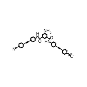 [C-]#[N+]c1ccc(C#Cc2ccc(NC(=O)c3cc(N)cc(C(=O)Nc4ccc(C#Cc5ccc(C#N)cc5)cc4)c3)cc2)cc1